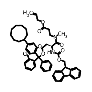 C=CCOC(=O)CCN(C)C(=O)[C@H](CC(=O)OC(c1ccccc1)(c1ccc(C2CCCCCCCC2)cc1)c1ccccc1Cl)NC(=O)OCC1c2ccccc2-c2ccccc21